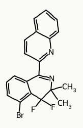 CC1(C)N=C(c2ccc3ccccc3n2)c2cccc(Br)c2C1(F)F